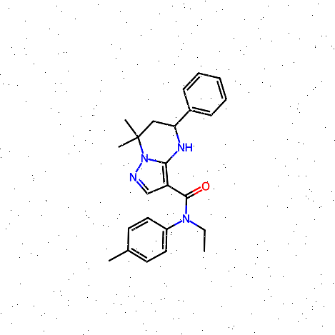 CCN(C(=O)c1cnn2c1NC(c1ccccc1)CC2(C)C)c1ccc(C)cc1